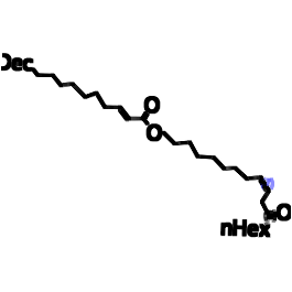 CCCCCCCCCCCCCCCCCC=CC(=O)OCCCCCCCC/C=C\C[C@H](O)CCCCCC